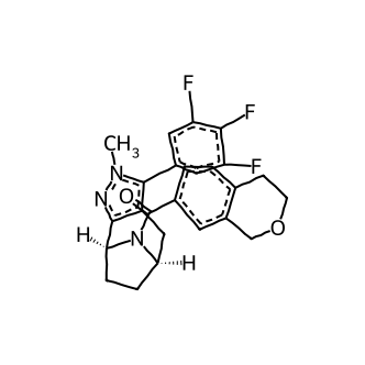 Cn1nc2c(c1-c1cc(F)c(F)c(F)c1)C[C@H]1CC[C@@H]2N1C(=O)c1ccc2c(c1)COCC2